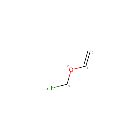 [CH]=COCF